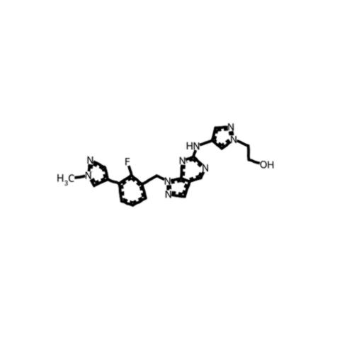 Cn1cc(-c2cccc(Cn3ncc4cnc(Nc5cnn(CCO)c5)nc43)c2F)cn1